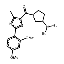 CCN(CC)C1CCN(C(=O)c2sc(-c3ccc(OC)cc3OC)nc2C)C1